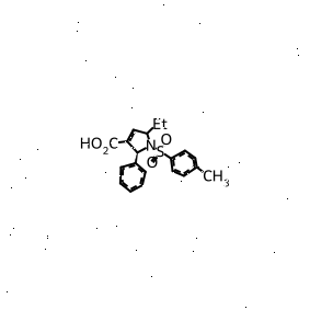 CCC1C=C(C(=O)O)[C@H](c2ccccc2)N1S(=O)(=O)c1ccc(C)cc1